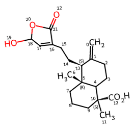 C=C1CCC2[C@](C)(CCC[C@]2(C)C(=O)O)[C@H]1CCC1=CC(O)OC1=O